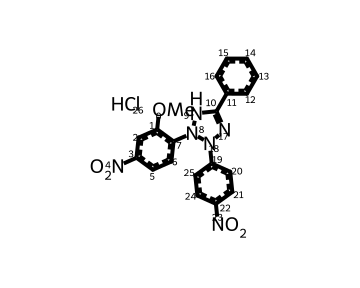 COc1cc([N+](=O)[O-])ccc1N1NC(c2ccccc2)=NN1c1ccc([N+](=O)[O-])cc1.Cl